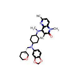 CN(c1c(C#N)c(=O)n(C)c2ccc(C#N)nc12)C1CCC(N(C[C@H]2CCCOC2)c2ccc3c(c2)OCO3)CC1